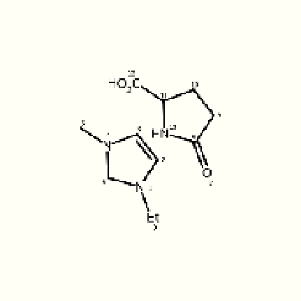 CCN1C=CN(C)C1.O=C1CCC(C(=O)O)N1